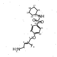 NC/C=C(\F)COc1ccc(S(=O)(=O)NC2CCCCC2)cc1